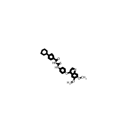 COc1cc2nccc(Oc3ccc(NC(=S)NC(=O)c4ccc(C5CCCCC5)cc4)cc3)c2cc1OC